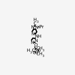 Cc1nc2cnc(Nc3ccnc(OCC(C)(C)S(C)(=O)=O)n3)cc2n1C(C)C